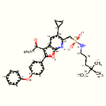 CNC(=O)c1c(-c2ccc(Oc3ccccc3)cc2)oc2nc(CS(=O)(=O)NCCCC(C)(C)C(=O)O)c(C3CC3)cc12